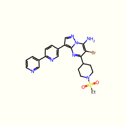 CCS(=O)(=O)N1CCC(c2nc3c(-c4ccc(-c5cccnc5)nc4)cnn3c(N)c2Br)CC1